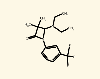 CCN(CC)C1N(c2cccc(C(F)(F)F)c2)C(=O)C1(C)C